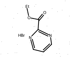 Br.CCOC(=O)c1ncccn1